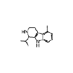 Cc1cccc2[nH]c3c(c12)CCNC3C(C)C